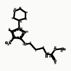 Cc1c([N+](=O)[O-])c(OCCCNC(=O)OC(C)(C)C)nn1C1CCCOC1